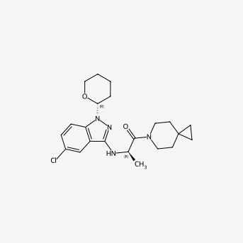 C[C@@H](Nc1nn([C@H]2CCCCO2)c2ccc(Cl)cc12)C(=O)N1CCC2(CC1)CC2